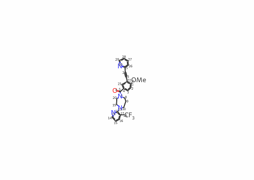 COc1ccc(C(=O)N2CCCN(c3ncccc3C(F)(F)F)CC2)cc1C#Cc1ccccn1